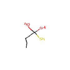 CCC(O)(O)S